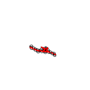 C=CC(=O)OCCOCCOCCOC(=O)C1CCC(C(=O)Oc2ccc(OC(=O)C3CCC(C(=O)OCCOCCOCCOC(=O)C=C)CC3)c(/C=N/N(CCCCCC)c3nc4ccccc4s3)c2)CC1